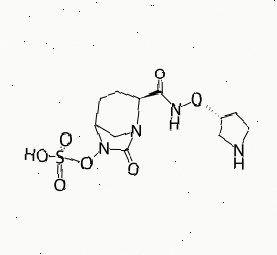 O=C(NO[C@@H]1CCNC1)[C@@H]1CCC2CN1C(=O)N2OS(=O)(=O)O